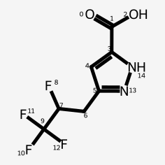 O=C(O)c1cc(CC(F)C(F)(F)F)n[nH]1